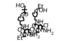 CCc1cn2c(N)c(Cl)cc(C(=O)NCC3CCN(CC(=O)C(C)(C)CO)CC3)c2n1.CCc1cn2c(N)c(Cl)cc(C(=O)NCC3CCN(CC(O)CC)CC3)c2n1